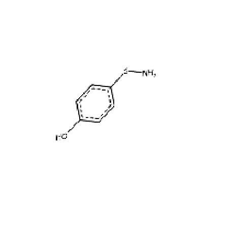 NSc1ccc(O)cc1